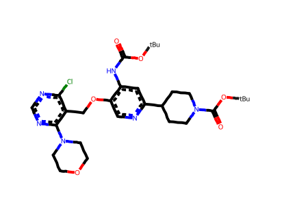 CC(C)(C)OC(=O)Nc1cc(C2CCN(C(=O)OC(C)(C)C)CC2)ncc1OCc1c(Cl)ncnc1N1CCOCC1